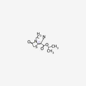 CCN1C(=O)CS/C1=C(/C#N)C(=O)OC(C)C